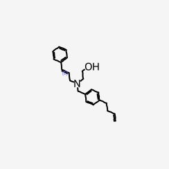 C=CCCc1ccc(CN(C/C=C/c2ccccc2)CCO)cc1